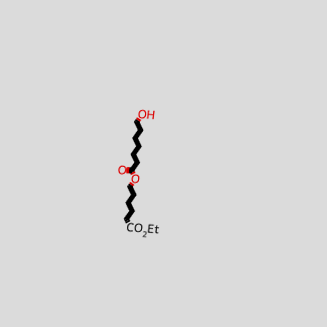 CCOC(=O)CCCCCOC(=O)CCCCCCO